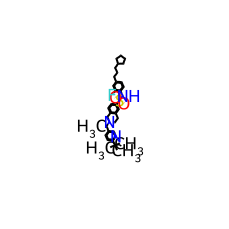 CC(c1ccc(C(C)(C)C)nc1)N1CCc2cc(S(=O)(=O)Nc3ccc(CCCC4CCCC4)cc3F)ccc2C1